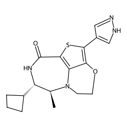 C[C@H]1[C@H](C2CCC2)NC(=O)c2sc(-c3cn[nH]c3)c3c2N1CCO3